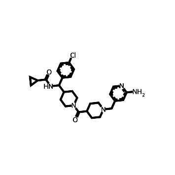 Nc1cc(CN2CCC(C(=O)N3CCC(C(NC(=O)C4CC4)c4ccc(Cl)cc4)CC3)CC2)ccn1